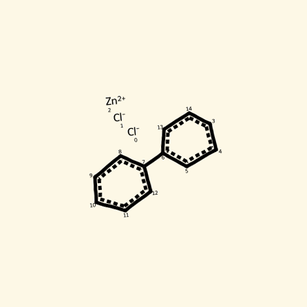 [Cl-].[Cl-].[Zn+2].c1ccc(-c2ccccc2)cc1